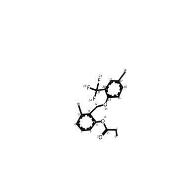 CCC(=O)Oc1cccc(C)c1COc1ccc(C)cc1C(F)(F)F